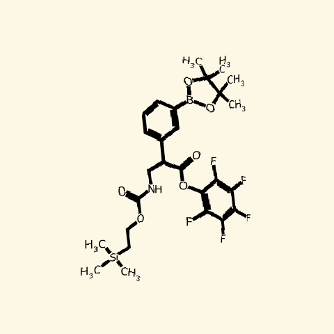 CC1(C)OB(c2cccc(C(CNC(=O)OCC[Si](C)(C)C)C(=O)Oc3c(F)c(F)c(F)c(F)c3F)c2)OC1(C)C